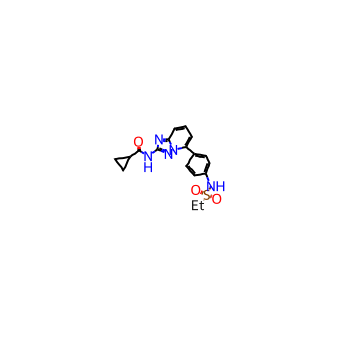 CCS(=O)(=O)Nc1ccc(-c2cccc3nc(NC(=O)C4CC4)nn23)cc1